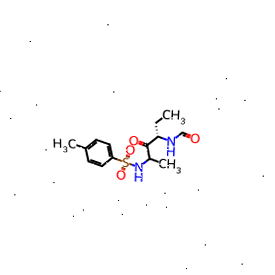 CC[C@H](NC=O)C(=O)C(C)NS(=O)(=O)c1ccc(C)cc1